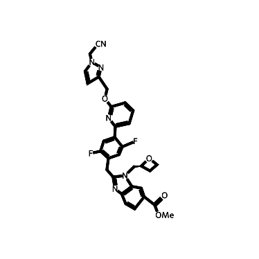 COC(=O)c1ccc2nc(Cc3cc(F)c(-c4cccc(OCc5ccn(CC#N)n5)n4)cc3F)n(C[C@@H]3CCO3)c2c1